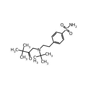 CC(C)(C)C(=O)CN(CCc1ccc(S(N)(=O)=O)cc1)C(C)(C)C